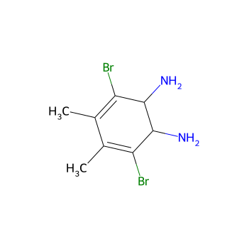 CC1=C(Br)C(N)C(N)C(Br)=C1C